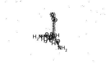 NCCCNC(=O)CCOCC(COCCC(=O)NCCCN)(COC(N)=O)NC(=O)CCCCCCCCCCC(=O)OCc1ccccc1